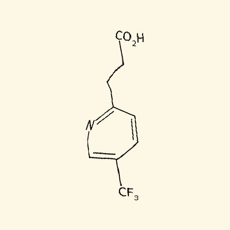 O=C(O)CCc1ccc(C(F)(F)F)cn1